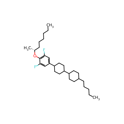 CCCCCC[C@@H](C)Oc1c(F)cc(C2CCC(C3CCC(CCCCC)CC3)CC2)cc1F